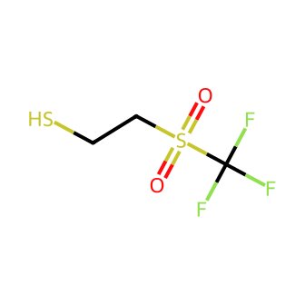 O=S(=O)(CCS)C(F)(F)F